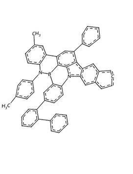 Cc1ccc(N2B3c4cc(-c5ccccc5-c5ccccc5)ccc4-n4c5cc6ccccc6cc5c5c(-c6ccccc6)cc(c3c54)-c3cc(C)ccc32)cc1